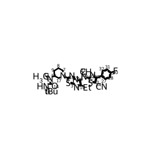 CCc1nc2sc(N3CCCC(N(C)C(=O)NC(C)(C)C)C3)nn2c1N(C)c1nc(-c2ccc(F)cc2)c(C#N)s1